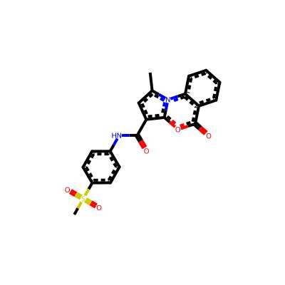 Cc1cc(C(=O)Nc2ccc(S(C)(=O)=O)cc2)c2oc(=O)c3ccccc3n12